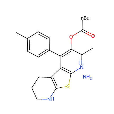 CCCCC(=O)Oc1c(C)nc2sc3c(c2c1-c1ccc(C)cc1)CCCN3.N